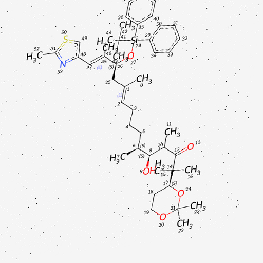 C/C(=C\CCC[C@H](C)[C@H](O)C(C)C(=O)C(C)(C)[C@@H]1CCOC(C)(C)O1)C[C@H](O[Si](c1ccccc1)(c1ccccc1)C(C)(C)C)/C(C)=C/c1csc(C)n1